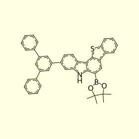 CC1(C)OB(c2cc3c4ccccc4sc3c3c2[nH]c2cc(-c4cc(-c5ccccc5)cc(-c5ccccc5)c4)ccc23)OC1(C)C